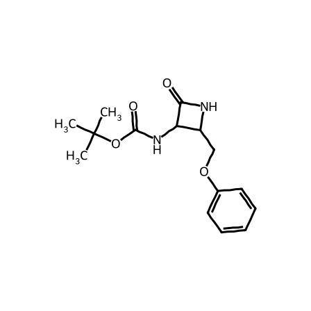 CC(C)(C)OC(=O)NC1C(=O)NC1COc1ccccc1